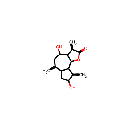 C=C1CC(O)C2C(=C)C(=O)OC2C2C(=C)C(O)CC12